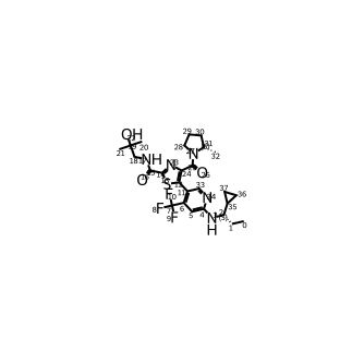 CC[C@H](Nc1cc(C(F)(F)F)c(-c2sc(C(=O)NCC(C)(C)O)nc2C(=O)N2CCC[C@@H]2C)cn1)C1CC1